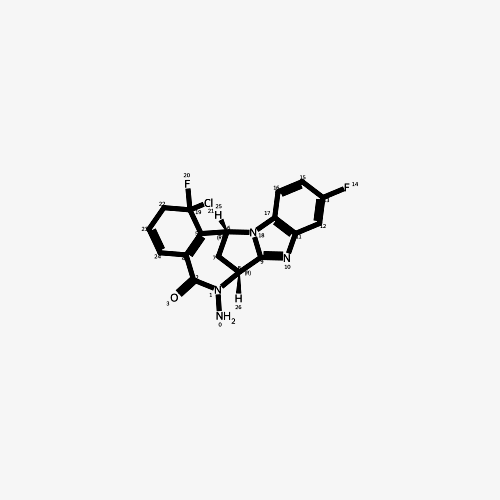 NN1C(=O)C2=C([C@H]3C[C@@H]1c1nc4cc(F)ccc4n13)C(F)(Cl)CC=C2